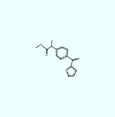 COC(=O)C(C)c1ccc(C(=O)c2cccs2)cc1